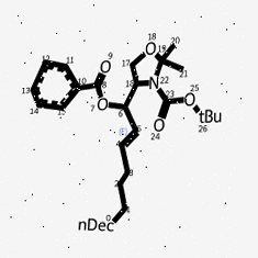 CCCCCCCCCCCCC/C=C/C(OC(=O)c1ccccc1)C1COC(C)(C)N1C(=O)OC(C)(C)C